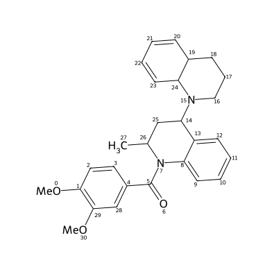 COc1ccc(C(=O)N2c3ccccc3C(N3CCCC4C=CC=CC43)CC2C)cc1OC